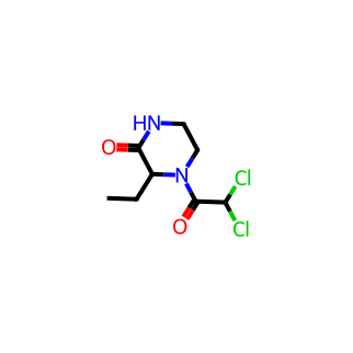 CCC1C(=O)NCCN1C(=O)C(Cl)Cl